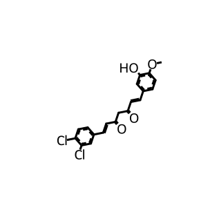 COc1ccc(C=CC(=O)CC(=O)C=Cc2ccc(Cl)c(Cl)c2)cc1O